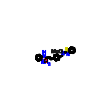 CON(Cc1ccc(C=CC(=O)Nc2ccccc2N)cc1)c1nc2ccccc2s1